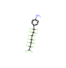 Nc1ccc(C(F)(F)C(F)(F)C(F)(F)C(F)(F)C(F)(F)C(F)(F)C(F)F)cc1